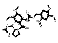 COc1cc(COC(=O)Nc2cc(OC)c(OC)cc2C(=O)N2CCC[C@H]2COC(C)=O)c(N=O)cc1OC